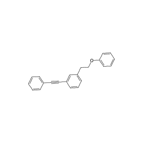 C(#Cc1cccc(CCOc2ccccc2)c1)c1ccccc1